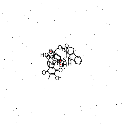 COC1=C(C)C(=O)C2=C(C1=O)C1[C@@H]3[C@@H]4SC[C@]5(NCCc6c5[nH]c5ccccc65)C(=O)OC[C@@H](c5c6c(c(C)c(O)c54)OCO6)N3[C@@H](O)C(C2)N1C